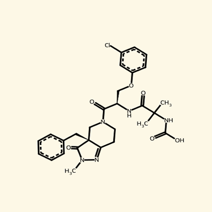 CN1N=C2CCN(C(=O)[C@@H](COc3cccc(Cl)c3)NC(=O)C(C)(C)NC(=O)O)C[C@@]2(Cc2ccccc2)C1=O